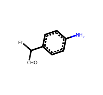 CCC([C]=O)c1ccc(N)cc1